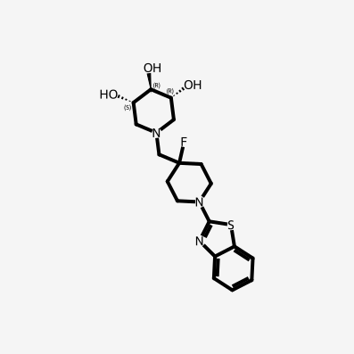 O[C@H]1[C@H](O)CN(CC2(F)CCN(c3nc4ccccc4s3)CC2)C[C@@H]1O